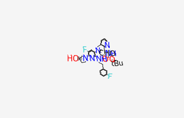 CC(C)(C)OC(=O)NCc1ncccc1CN(C=O)c1cc(F)c(N2CC[C@@H](O)C2)nc1NCCc1cccc(F)c1